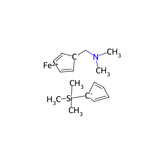 CN(C)C[c-]1cccc1.C[Si](C)(C)[c-]1cccc1.[Fe+2]